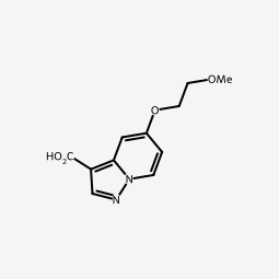 COCCOc1ccn2ncc(C(=O)O)c2c1